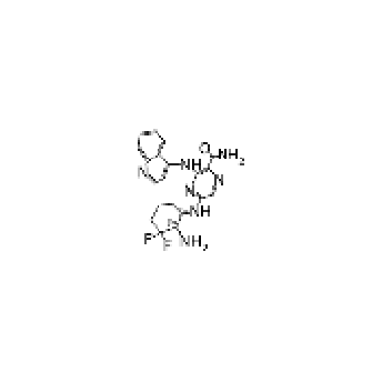 NC(=O)c1ncc(N[C@@H]2CCCC(F)(F)[C@@H]2N)nc1Nc1ccnc2ccccc12